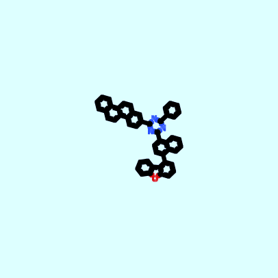 c1ccc(-c2nc(-c3ccc4c(ccc5c6ccccc6ccc45)c3)nc(-c3ccc(-c4cccc5oc6ccccc6c45)c4ccccc34)n2)cc1